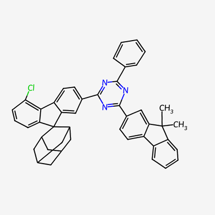 CC1(C)c2ccccc2-c2ccc(-c3nc(-c4ccccc4)nc(-c4ccc5c(c4)C4(c6cccc(Cl)c6-5)C5CC6CC(C5)CC4C6)n3)cc21